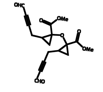 COC(=O)C1(OC2(C(=O)OC)CC2CC#CC=O)CC1CC#CC=O